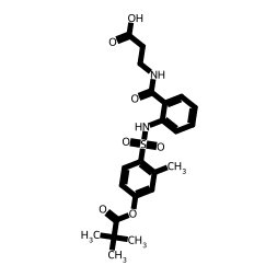 Cc1cc(OC(=O)C(C)(C)C)ccc1S(=O)(=O)Nc1ccccc1C(=O)NCCC(=O)O